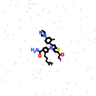 Cc1cc(-n2ccnc2)ccc1-c1cc2sc(C(=O)CI)cc2n1-c1ccc(C(N)=O)c(CCCC(C)C)c1